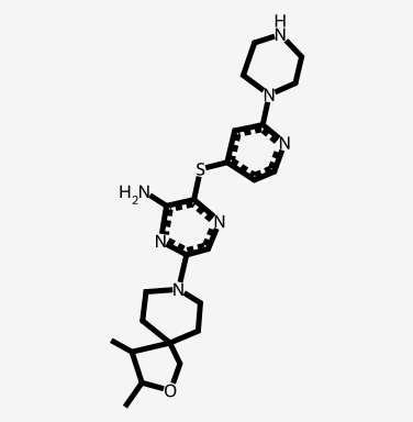 CC1OCC2(CCN(c3cnc(Sc4ccnc(N5CCNCC5)c4)c(N)n3)CC2)C1C